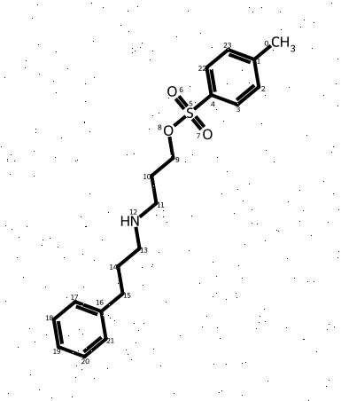 Cc1ccc(S(=O)(=O)OCCCNCCCc2ccccc2)cc1